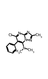 Cc1nc2nc(Cl)c(-c3ccccc3)c(N(C)C)n2n1